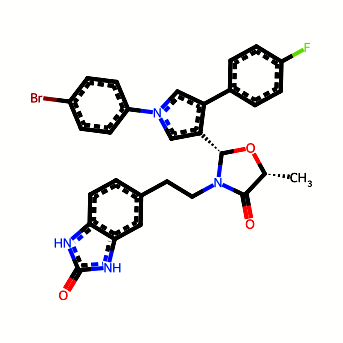 C[C@H]1O[C@@H](c2cn(-c3ccc(Br)cc3)cc2-c2ccc(F)cc2)N(CCc2ccc3[nH]c(=O)[nH]c3c2)C1=O